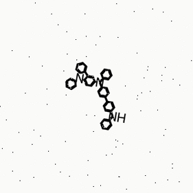 c1ccc(Nc2ccc(-c3ccc(N(c4ccccc4)c4ccc5c(c4)c4ccccc4n5-c4ccccc4)cc3)cc2)cc1